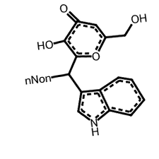 CCCCCCCCCC(c1oc(CO)cc(=O)c1O)c1c[nH]c2ccccc12